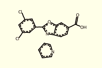 O=C(O)c1ccc2nc(-c3cc(Cl)cc(Cl)c3)oc2c1.c1ccncc1